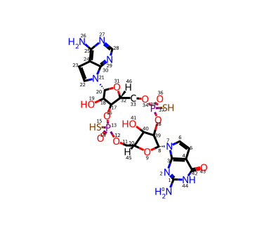 Nc1nc2c(ccn2[C@@H]2O[C@@H]3COP(=O)(S)OC4C(O)[C@H](n5ccc6c(N)ncnc65)O[C@@H]4COP(=O)(S)OC2C3O)c(=O)[nH]1